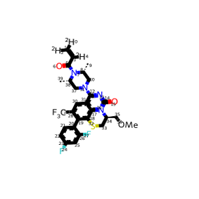 [2H]C([2H])=C([2H])C(=O)N1[C@H](C)CN(c2nc(=O)n3c4c(c(-c5ccc(F)cc5F)c(C(F)(F)F)cc24)SC[C@@H]3COC)C[C@@H]1C